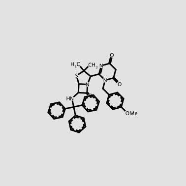 COc1ccc(CN2C(=O)CC(=O)N=C2C2N3C(=O)C(NC(c4ccccc4)(c4ccccc4)c4ccccc4)C3SC2(C)C)cc1